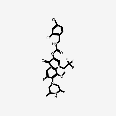 COc1c(N2CC(C)NC(C)C2)c(F)cc2c(=O)c(OC(=O)NCc3ccc(Cl)cc3Cl)cn(CC(F)(F)F)c12